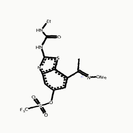 CCNC(=O)Nc1nc2cc(OS(=O)(=O)C(F)(F)F)cc(/C(C)=N/OC)c2s1